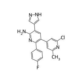 Cc1cc(-c2cc(-c3cn[nH]c3)c(N)nc2-c2ccc(F)cc2)cc(Cl)n1